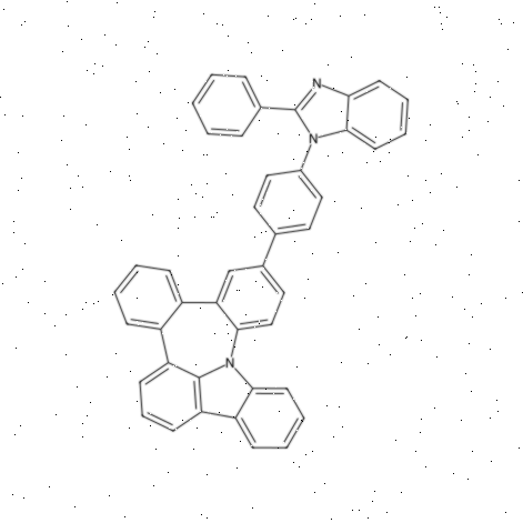 c1ccc(-c2nc3ccccc3n2-c2ccc(-c3ccc4c(c3)-c3ccccc3-c3cccc5c6ccccc6n-4c35)cc2)cc1